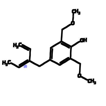 C=C/C(=C\C)Cc1cc(COC)c(O)c(COC)c1